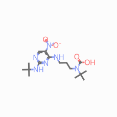 CC(C)(C)Nc1ncc([N+](=O)[O-])c(NCCCN(C(=O)O)C(C)(C)C)n1